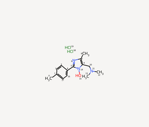 Cc1ccc(-c2nc(C)c(CN(C)C)n2O)cc1.Cl.Cl